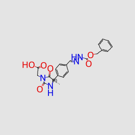 C[C@]1(c2ccc(C=NNC(=O)OCc3ccccc3)cc2)NC(=O)N(CC(=O)O)C1=O